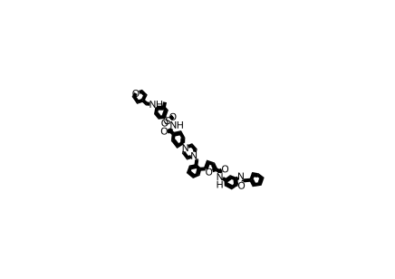 Cc1cc(S(=O)(=O)NC(=O)c2ccc(N3CCN(Cc4ccccc4-c4ccc(C(=O)Nc5ccc6oc(-c7ccccc7)nc6c5)o4)CC3)cc2)ccc1NCC1CCOCC1